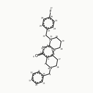 O=c1nc2n(c3c1CN(Cc1ccccc1)CC3)CCCN2Cc1ccc(F)cc1